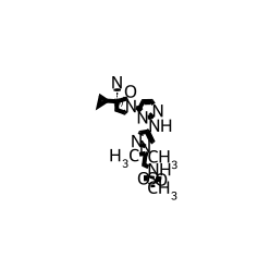 CC(C)(CNS(C)(=O)=O)n1cc(Nc2nccc(N3CC[C@@](C#N)(C4CC4)C3=O)n2)cn1